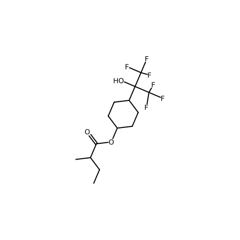 CCC(C)C(=O)OC1CCC(C(O)(C(F)(F)F)C(F)(F)F)CC1